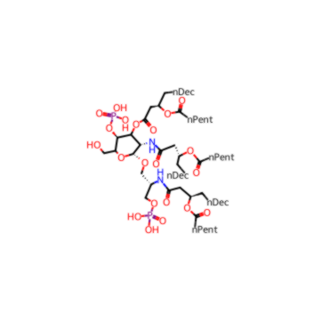 CCCCCCCCCCC[C@H](CC(=O)N[C@@H](CO[C@@H]1OC(CO)[C@@H](OP(=O)(O)O)C(OC(=O)C[C@@H](CCCCCCCCCCC)OC(=O)CCCCC)[C@@H]1NC(=O)C[C@@H](CCCCCCCCCCC)OC(=O)CCCCC)COP(=O)(O)O)OC(=O)CCCCC